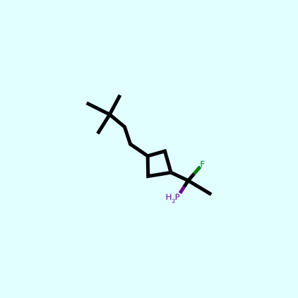 CC(C)(C)CCC1CC(C(C)(F)P)C1